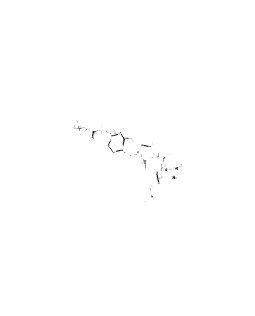 CCC/C=C/N(C(=O)N1C=CN(Cc2ccc(NC(=O)OC(C)(C)C)cc2Cl)C1C)[SH](=O)=O